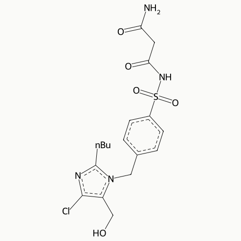 CCCCc1nc(Cl)c(CO)n1Cc1ccc(S(=O)(=O)NC(=O)CC(N)=O)cc1